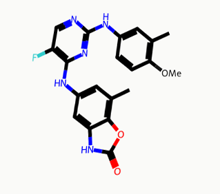 COc1ccc(Nc2ncc(F)c(Nc3cc(C)c4oc(=O)[nH]c4c3)n2)cc1C